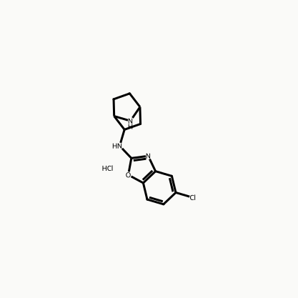 Cl.Clc1ccc2oc(NC3CC4CCC3N4)nc2c1